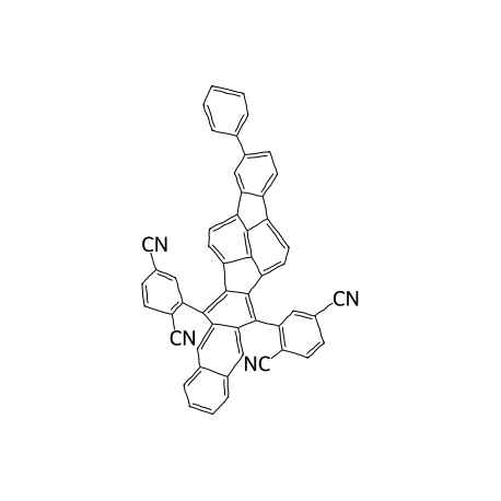 N#Cc1ccc(C#N)c(-c2c3c(c(-c4cc(C#N)ccc4C#N)c4cc5ccccc5cc24)-c2ccc4c5c(ccc-3c25)-c2ccc(-c3ccccc3)cc2-4)c1